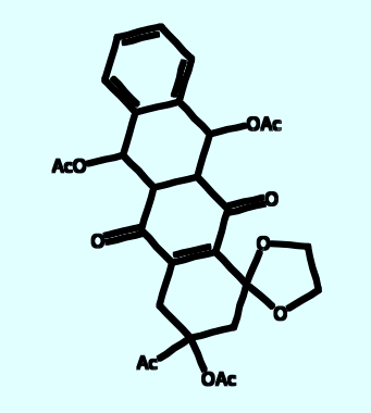 CC(=O)OC1c2ccccc2C(OC(C)=O)C2C(=O)C3=C(CC(OC(C)=O)(C(C)=O)CC34OCCO4)C(=O)C12